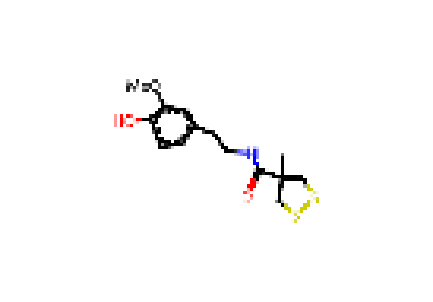 COc1cc(CCNC(=O)C2(C)CSSC2)ccc1O